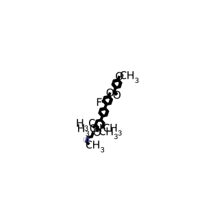 C/C=C\CCON1C(C)(C)CC(c2ccc(-c3ccc(OC(=O)c4ccc(OC)cc4)cc3F)cc2)CC1(C)C